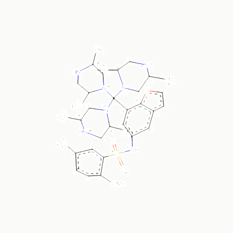 COc1ccc(C)cc1S(=O)(=O)Nc1cc(C(N2CC(C)NCC2C)(N2CC(C)NCC2C)N2CC(C)NCC2C)c2occc2c1